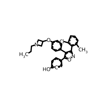 CCCN1CC(Oc2ccc(-c3c(-c4c(C)cccc4Cl)noc3-c3ccc(O)cc3)cc2)C1